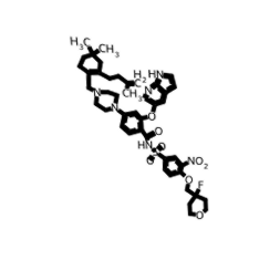 C=C(C)CCC1=C(CN2CCN(c3ccc(C(=O)NS(=O)(=O)c4ccc(OCC5(F)CCOCC5)c([N+](=O)[O-])c4)c(Oc4cnc5[nH]ccc5c4)c3)CC2)CCC(C)(C)C1